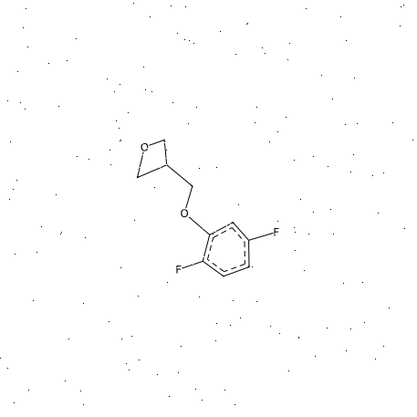 Fc1[c]cc(F)c(OCC2COC2)c1